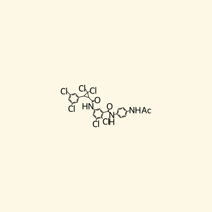 CC(=O)Nc1ccc(NC(=O)c2cc(NC(=O)C3C(c4cc(Cl)cc(Cl)c4)C3(Cl)Cl)cc(Cl)c2Cl)cc1